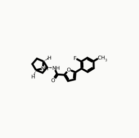 Cc1ccc(-c2ccc(C(=O)N[C@@H]3C[C@H]4CC[C@@H]3N4)o2)c(F)c1